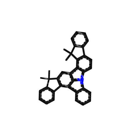 CC1(C)c2ccccc2-c2c1cc1c3c4c(ccc3n3c5ccccc5c2c13)-c1ccccc1C4(C)C